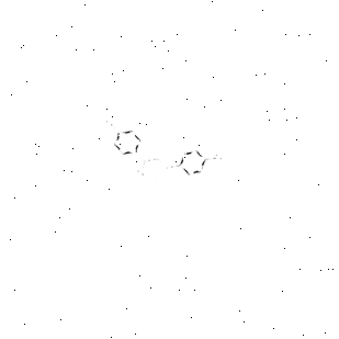 Nc1ccc(CCC(N)c2ccc(N)cc2)cc1